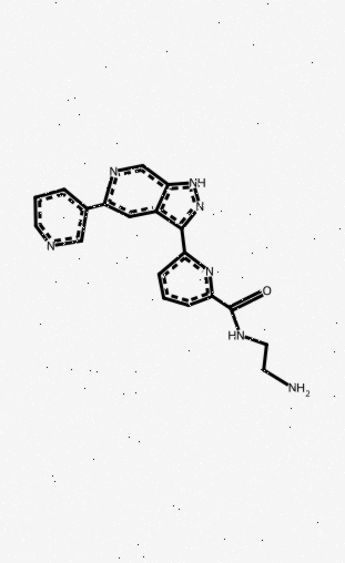 NCCNC(=O)c1cccc(-c2n[nH]c3cnc(-c4cccnc4)cc23)n1